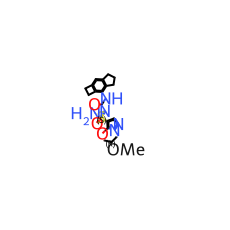 CO[C@H]1COc2c([S@@](N)(=O)=NC(=O)Nc3c4c(cc5c3CC5)CCC4)cnn2C1